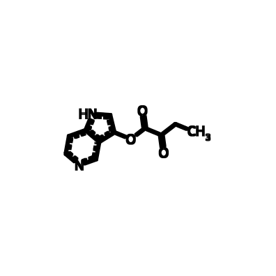 CCC(=O)C(=O)Oc1c[nH]c2ccncc12